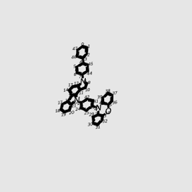 c1ccc(-c2ccc(-n3ccc4c3ccc3c5ccccc5n(-c5ccc(N6c7ccccc7Oc7ccccc76)cc5)c34)cc2)cc1